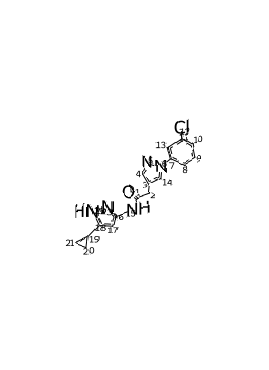 O=C(Cc1cnn(-c2cccc(Cl)c2)c1)Nc1cc(C2CC2)[nH]n1